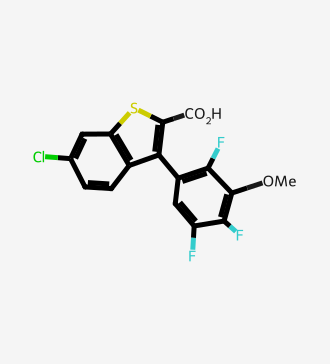 COc1c(F)c(F)cc(-c2c(C(=O)O)sc3cc(Cl)ccc23)c1F